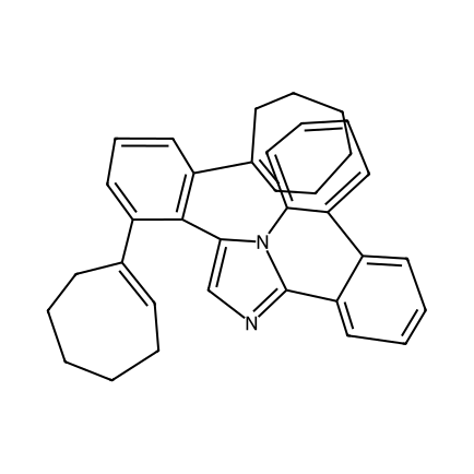 C1=C(c2cccc(C3=CCCCCC3)c2-c2cnc3c4ccccc4c4ccccc4n23)CCCCC1